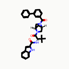 CC(C)(C)[C@H](NC(=O)c1cc2ccccc2[nH]1)C(=O)N1C[C@@H]2C[C@H]1CN2C(=O)c1cccc(-c2ccccc2)c1